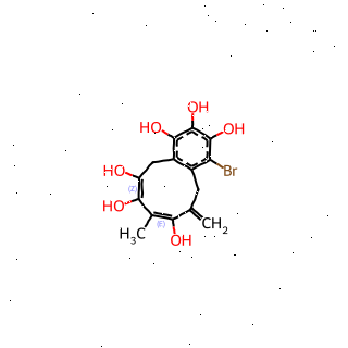 C=C1Cc2c(Br)c(O)c(O)c(O)c2C/C(O)=C(O)\C(C)=C/1O